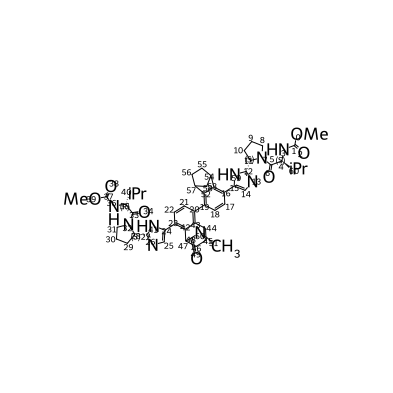 COC(=O)N[C@H](C(=O)N1CCC[C@H]1c1ncc(-c2ccc(-c3ccc(-c4cnc([C@@H]5CCCN5C(=O)[C@H](NC(=O)OC)C(C)C)[nH]4)c4c3C3CCC4C(=O)N3C)c3c2C2CCC3C2)[nH]1)C(C)C